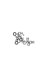 CSc1nc2nc(N3CCCC(NC(=O)O)C3)n(Cc3ccccc3)c2c(=O)n1Cc1ccccc1